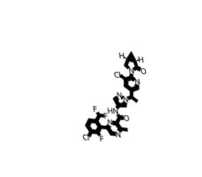 Cc1ncc(-c2c(C(F)F)ccc(Cl)c2F)nc1C(=O)Nc1cnn(C(C)c2cnc(N3C[C@H]4C[C@H]4C3=O)c(Cl)c2)c1